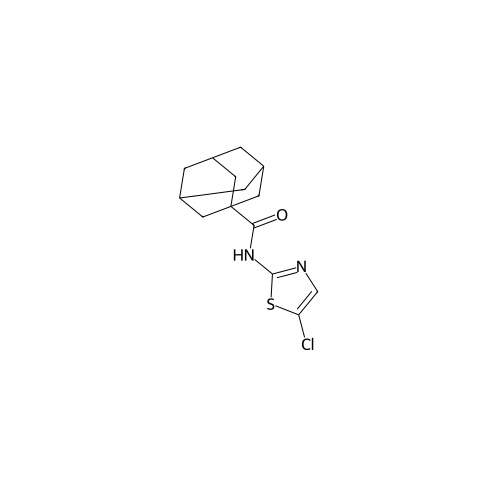 O=C(Nc1ncc(Cl)s1)C12CC3CC(CC(C3)C1)C2